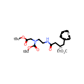 CCOC(=O)[C@H](CC(=O)NCCN(CC(=O)OC(C)(C)C)C(=O)OC(C)(C)C)Cc1ccccc1